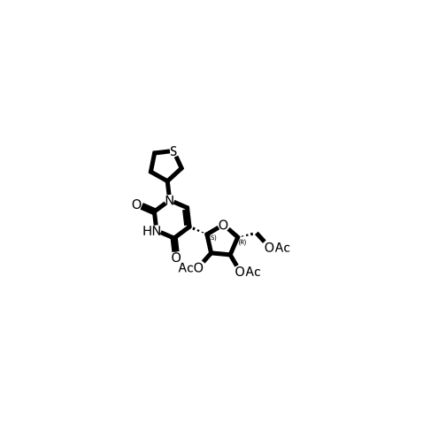 CC(=O)OC[C@H]1O[C@@H](c2cn(C3CCSC3)c(=O)[nH]c2=O)C(OC(C)=O)C1OC(C)=O